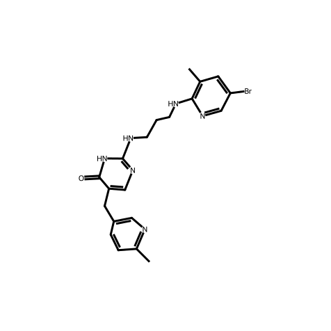 Cc1ccc(Cc2cnc(NCCCNc3ncc(Br)cc3C)[nH]c2=O)cn1